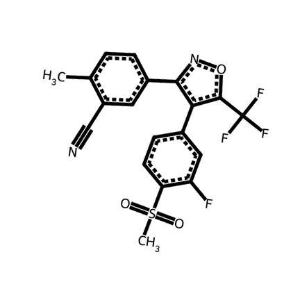 Cc1ccc(-c2noc(C(F)(F)F)c2-c2ccc(S(C)(=O)=O)c(F)c2)cc1C#N